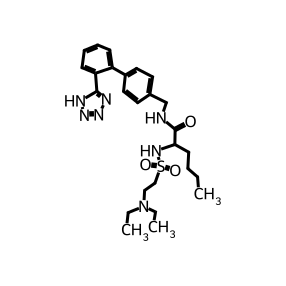 CCCCC(NS(=O)(=O)CCN(CC)CC)C(=O)NCc1ccc(-c2ccccc2-c2nnn[nH]2)cc1